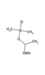 COC(C)O[Si](C)(C)Cl